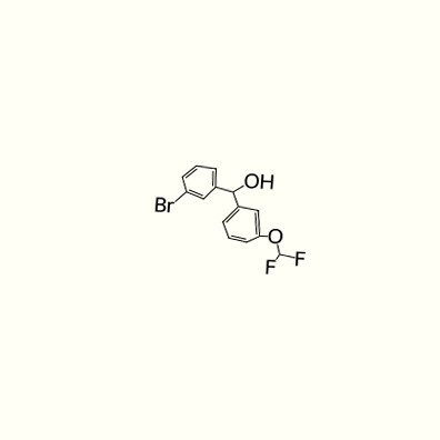 OC(c1cccc(Br)c1)c1cccc(OC(F)F)c1